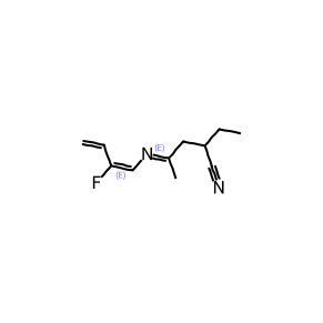 C=C/C(F)=C\N=C(/C)CC(C#N)CC